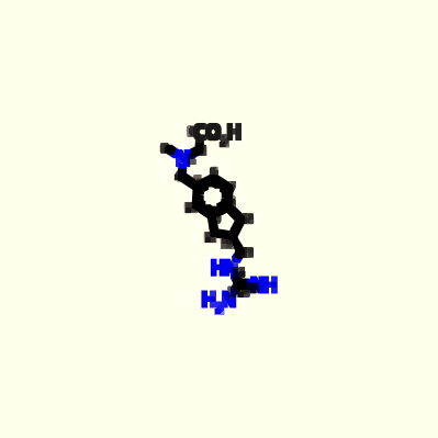 CN(CC(=O)O)Cc1ccc2c(c1)C[C@H](CNC(=N)N)C2